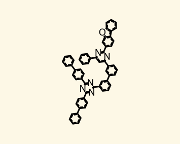 c1ccc(-c2ccc(-c3nc(-c4ccc(-c5ccccc5)cc4)nc(-c4cccc(-c5cccc(-c6cc(-c7ccccc7)nc(-c7ccc8c(c7)oc7ccccc78)n6)c5)c4)n3)cc2)cc1